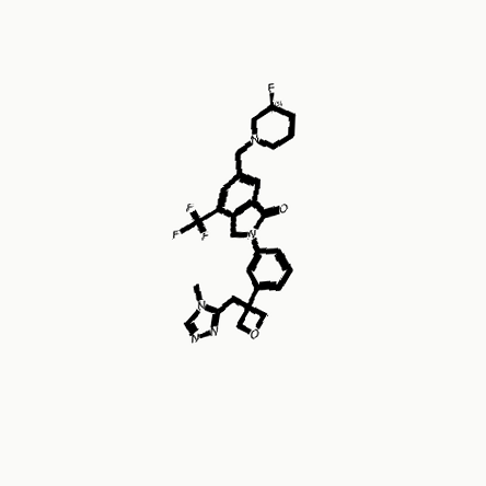 Cn1cnnc1CC1(c2cccc(N3Cc4c(cc(CN5CCC[C@H](F)C5)cc4C(F)(F)F)C3=O)c2)COC1